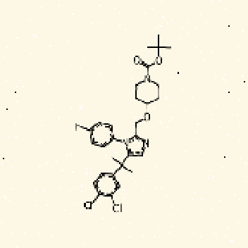 CC(C)(C)OC(=O)N1CCC(OCc2ncc(C(C)(C)c3ccc(Cl)c(Cl)c3)n2-c2ccc(F)cc2)CC1